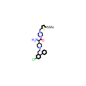 CSc1ccc(CN2CCN(C(=O)[C@H](N)C3CCN(CCc4cc(Cl)ccc4-c4ccccc4)CC3)CC2)s1